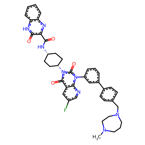 CN1CCCN(Cc2ccc(-c3cccc(-n4c(=O)n([C@H]5CC[C@@H](NC(=O)c6nc7ccccc7[nH]c6=O)CC5)c(=O)c5cc(F)cnc54)c3)cc2)CC1